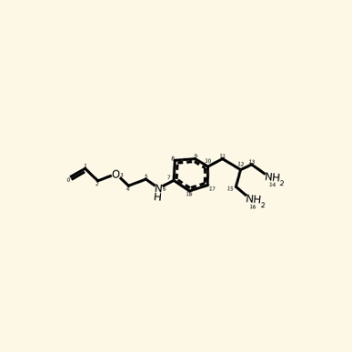 C=CCOCCNc1ccc(CC(CN)CN)cc1